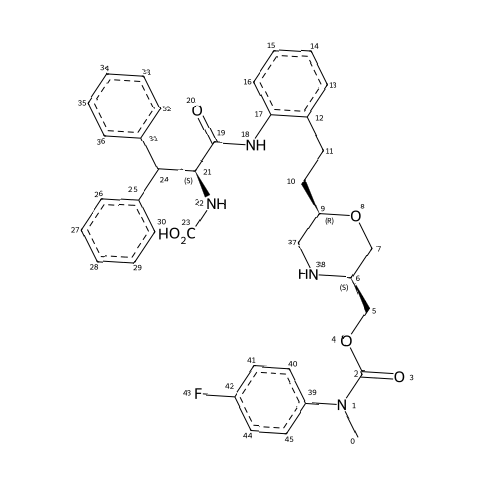 CN(C(=O)OC[C@@H]1CO[C@H](CCc2ccccc2NC(=O)[C@@H](NC(=O)O)C(c2ccccc2)c2ccccc2)CN1)c1ccc(F)cc1